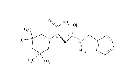 CC1(C)CC([C@H](C[C@H](O)[C@@H](N)Cc2ccccc2)C(N)=O)CC(C)(C)C1